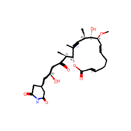 CO[C@H]1/C=C/CC/C=C/C(=O)O[C@H]([C@H](C)C(=O)C[C@@H](O)CC2CC(=O)NC(=O)C2)/C(C)=C\[C@@H](C)[C@@H]1O